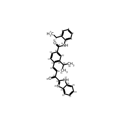 CCc1ccccc1NC(=O)c1ccc(C=CC(=O)c2nc3ccccc3[nH]2)c(C(C)C)c1